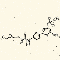 CCOCCNC(=O)Nc1ccc(-c2nc(N)cc(CS(C)(=O)=O)n2)cc1